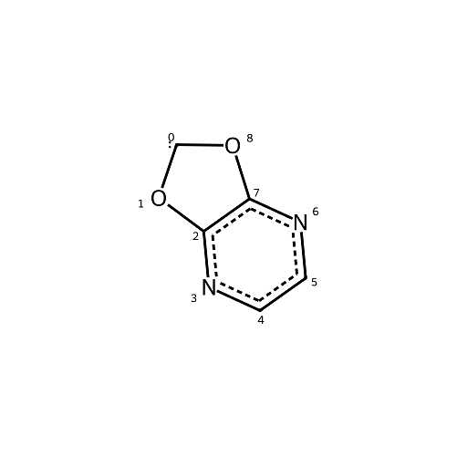 [C]1Oc2nccnc2O1